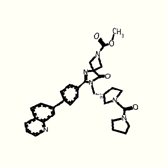 COC(=O)N1CC2(C1)N=C(c1ccc(-c3ccc4cccnc4c3)cc1)N(C[C@@H]1CCN(C(=O)N3CCCC3)C1)C2=O